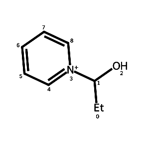 CCC(O)[n+]1ccccc1